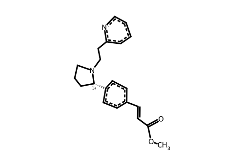 COC(=O)C=Cc1ccc([C@@H]2CCCN2CCc2ccccn2)cc1